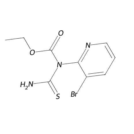 CCOC(=O)N(C(N)=S)c1ncccc1Br